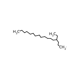 [CH2]CCC(CC)CCCCCCCCCCCCC